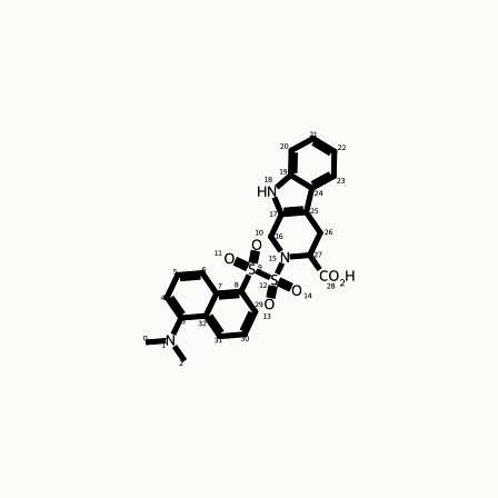 CN(C)c1cccc2c(S(=O)(=O)S(=O)(=O)N3Cc4[nH]c5ccccc5c4CC3C(=O)O)cccc12